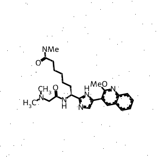 CNC(=O)CCCCC[C@H](NC(=O)CN(C)C)c1ncc(-c2cc3ccccc3nc2OC)[nH]1